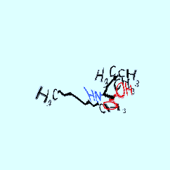 CCCCCCCC(C)NC(CC(C)(C)C)C(=O)O